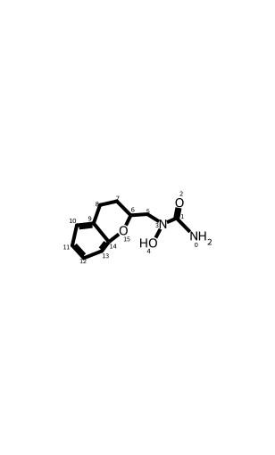 NC(=O)N(O)CC1CCc2ccccc2O1